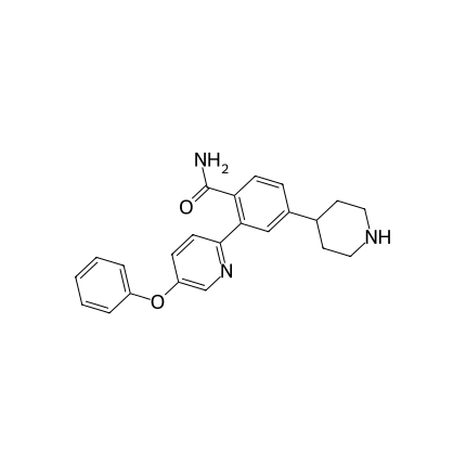 NC(=O)c1ccc(C2CCNCC2)cc1-c1ccc(Oc2ccccc2)cn1